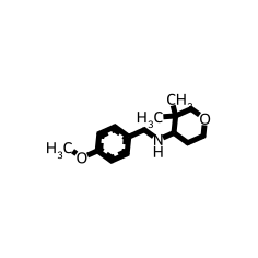 COc1ccc(CNC2CCOCC2(C)C)cc1